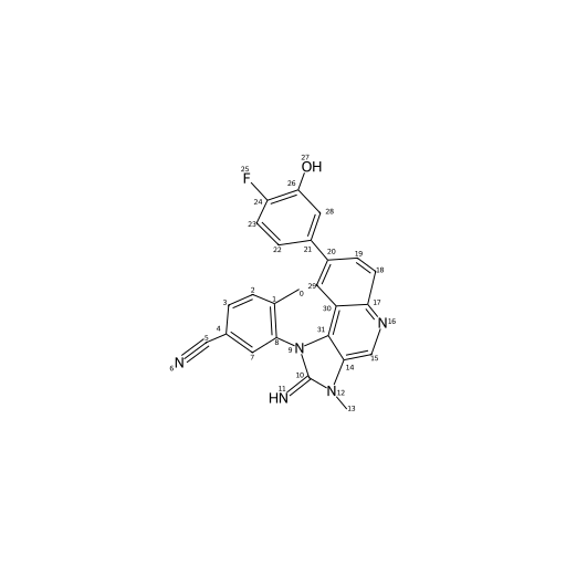 Cc1ccc(C#N)cc1-n1c(=N)n(C)c2cnc3ccc(-c4ccc(F)c(O)c4)cc3c21